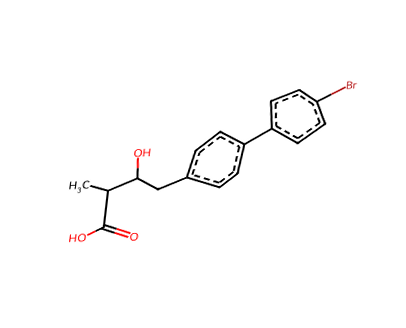 CC(C(=O)O)C(O)Cc1ccc(-c2ccc(Br)cc2)cc1